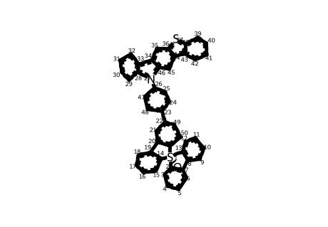 O=S12(c3ccccc3-c3ccccc31)c1ccccc1-c1cc(-c3ccc(-n4c5ccccc5c5cc6sc7ccccc7c6cc54)cc3)ccc12